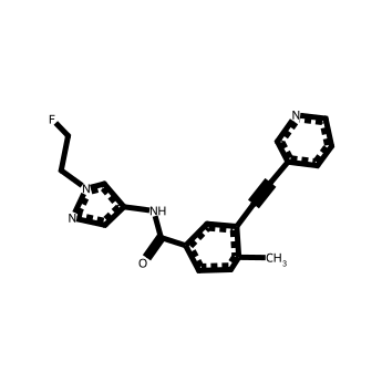 Cc1ccc(C(=O)Nc2cnn(CCF)c2)cc1C#Cc1cccnc1